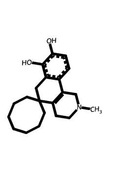 CN1CCC2=C(C1)c1ccc(O)c(O)c1CC21CCCCCCC1